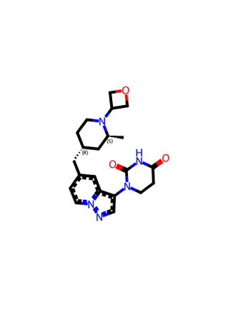 C[C@H]1C[C@H](Cc2ccn3ncc(N4CCC(=O)NC4=O)c3c2)CCN1C1COC1